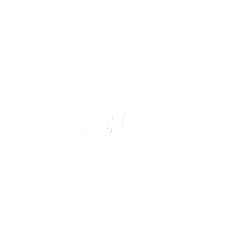 C[N+](C)(C)CCOC(=O)O